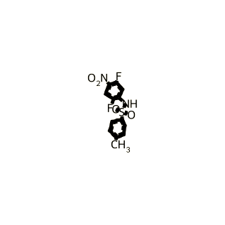 Cc1ccc(S(=O)(=O)Nc2cc(F)c([N+](=O)[O-])cc2F)cc1